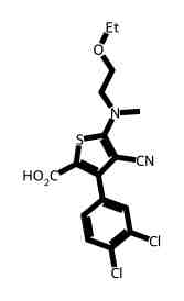 CCOCCN(C)c1sc(C(=O)O)c(-c2ccc(Cl)c(Cl)c2)c1C#N